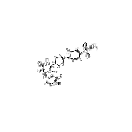 CS(=O)(=O)c1ccc(C2=CCC(c3[nH]c(=O)[nH]c(=O)c3Cc3cccc(F)c3F)CC2)c(F)c1